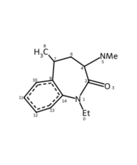 CCN1C(=O)C(NC)CC(C)c2ccccc21